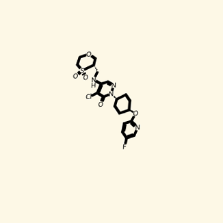 O=c1c(Cl)c(NC[C@H]2COCCS2(=O)=O)cnn1[C@H]1CC[C@H](Oc2ccc(F)cn2)CC1